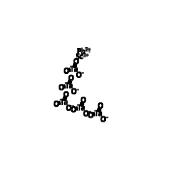 [O]=[Ta](=[O])[O-].[O]=[Ta](=[O])[O-].[O]=[Ta](=[O])[O-].[O]=[Ta](=[O])[O-].[O]=[Ta](=[O])[O-].[Pb+2].[Sc+3]